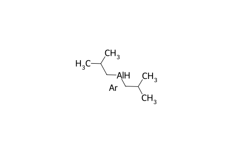 CC(C)[CH2][AlH][CH2]C(C)C.[Ar]